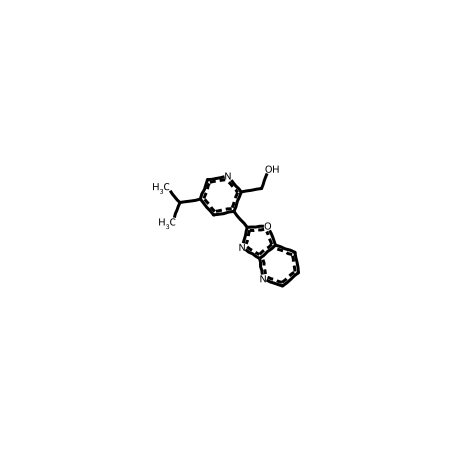 CC(C)c1cnc(CO)c(-c2nc3ncccc3o2)c1